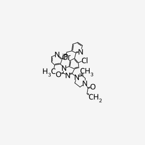 C=CC(=O)N1CCN(c2nc(=O)n(-c3c(C)ccnc3C(C)C)c3c4c(c(Cl)cc23)-c2ncccc2CO4)[C@@H](C)C1